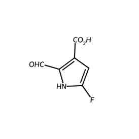 O=Cc1[nH]c(F)cc1C(=O)O